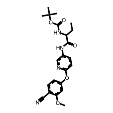 CCC(NC(=O)OC(C)(C)C)C(=O)Nc1ccc(Oc2ccc(C#N)c(OC)c2)nc1